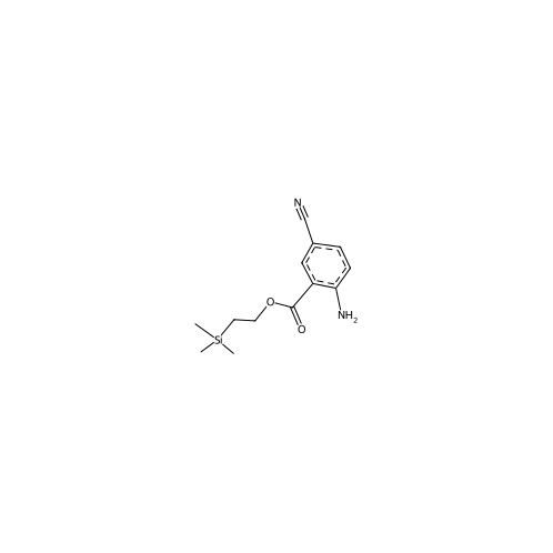 C[Si](C)(C)CCOC(=O)c1cc(C#N)ccc1N